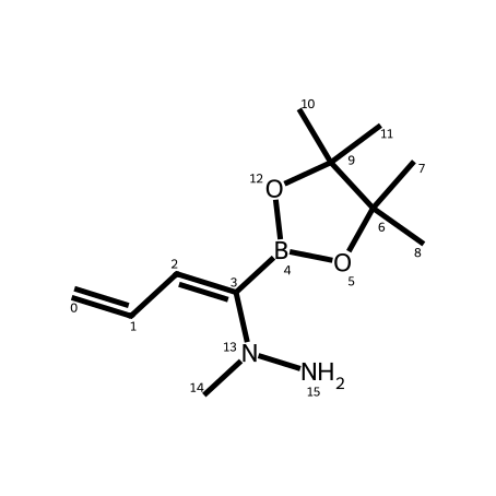 C=C/C=C(/B1OC(C)(C)C(C)(C)O1)N(C)N